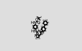 CC(C)(C)OC(=O)Nc1ccc(Nc2nc(C3(F)C=CC(c4ccccc4)=CC3)cc3ccnn23)cc1